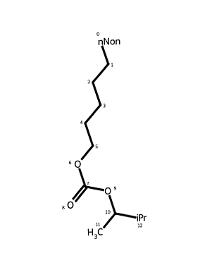 CCCCCCCCCCCCCCOC(=O)OC(C)C(C)C